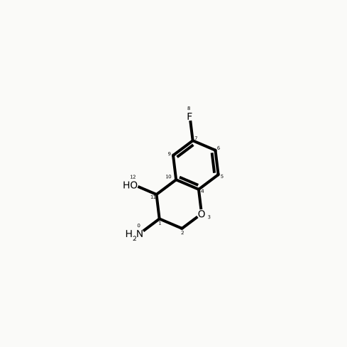 NC1COc2ccc(F)cc2C1O